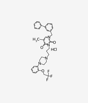 Cc1cn(Cc2cccc(-c3ccccc3)c2)c(=O)n(CCCN2CCN(c3ccccc3OCC(F)(F)F)CC2)c1=O.Cl